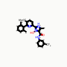 COc1ccc(-c2[nH]c(C)c(C(=O)Nc3cccc(C(F)(F)F)c3)[n+]2O)nc1-c1c(C)cccc1C